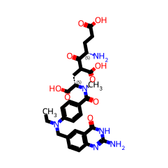 CCN(Cc1ccc2nc(N)[nH]c(=O)c2c1)c1ccc(C(=O)N(C)[C@@H](CC(C(=O)O)C(=O)[C@@H](N)CCC(=O)O)C(=O)O)cc1